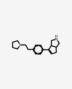 C1=C(c2ccc(CCN3CCCC3)cc2)C2CNCC2C1